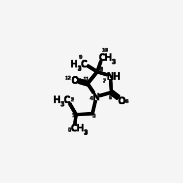 CC(C)CN1C(=O)NC(C)(C)C1=O